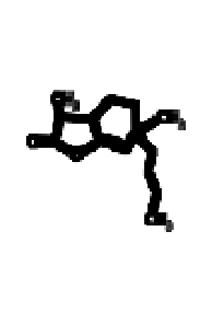 CCCCC1(C)C=C2OC(=O)C(C)C2CC1